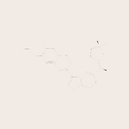 CCOc1cc2nc(-c3nnc4ccc([C@H](C)N5CC[C@](C)(N)C5)cn34)ccc2cc1F